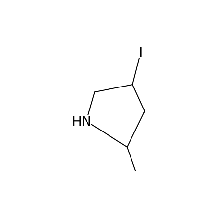 CC1CC(I)CN1